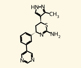 Cc1n[nH]cc1[C@@H]1C[C@@H](c2cccc(-c3cncnc3)c2)N=C(N)S1